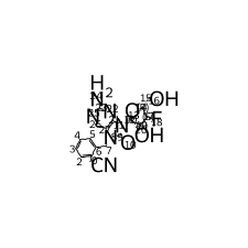 N#Cc1ccccc1Cn1c(=O)n([C@@H]2O[C@H](CO)[C@@H](F)[C@H]2O)c2nc(N)ncc21